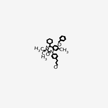 Cc1cc2c(cc1OCc1ccccc1)C(C1CCCCC1)=NN(C(C)C)C(=O)N2c1ccc(CCC=O)cc1